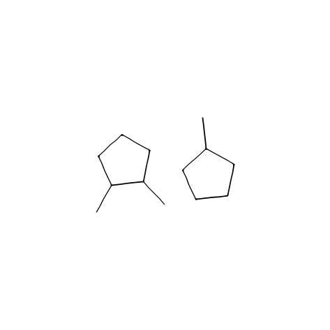 CC1C[CH]CC1.CC1[CH]CCC1C